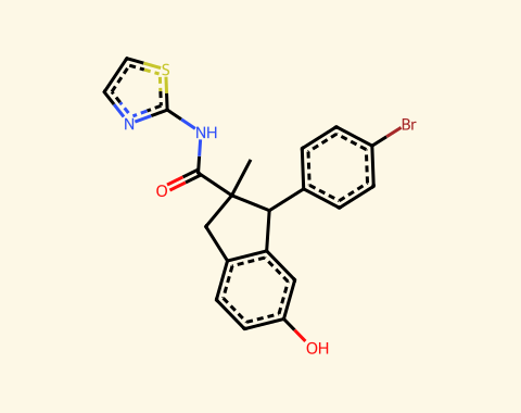 CC1(C(=O)Nc2nccs2)Cc2ccc(O)cc2C1c1ccc(Br)cc1